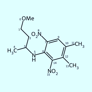 COCCC(C)Nc1c([N+](=O)[O-])cc(C)c(C)c1[N+](=O)[O-]